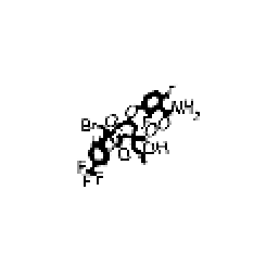 C=CCC(CC(=O)O)(CC(Oc1ccc(F)c(C(N)=O)c1F)c1nc(-c2ccc(C(F)(F)F)cc2)c(Br)o1)C(=O)O